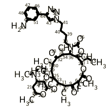 CC[C@H]1OC(=O)[C@@](C)(F)C(=O)[C@H](C)[C@@H](O[C@H]2[CH][C@H](N(C)C)C[C@@H](C)O2)[C@](C)(OC)C[C@@H](C)C(=O)[C@H](C)C2N(CCCCn3cc(-c4cccc(N)c4)nn3)C(=O)O[C@@]21C